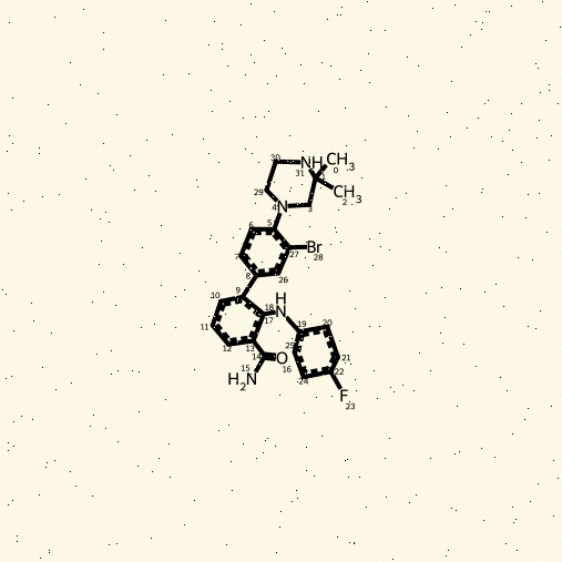 CC1(C)CN(c2ccc(-c3cccc(C(N)=O)c3Nc3ccc(F)cc3)cc2Br)CCN1